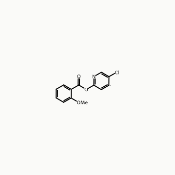 COc1ccccc1C(=O)Oc1c[c]c(Cl)cn1